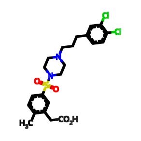 Cc1ccc(S(=O)(=O)N2CCN(CCCc3ccc(Cl)c(Cl)c3)CC2)cc1CC(=O)O